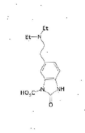 CCN(CC)CCc1ccc2[nH]c(=O)n(C(=O)O)c2c1